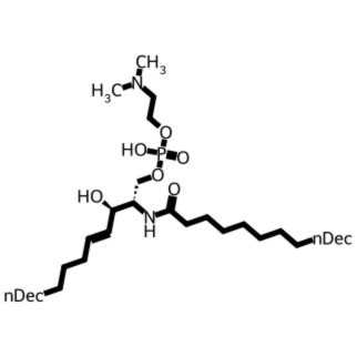 CCCCCCCCCCCCC/C=C/[C@@H](O)[C@H](COP(=O)(O)OCCN(C)C)NC(=O)CCCCCCCCCCCCCCCCC